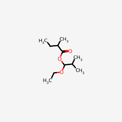 CCOC(OC(=O)C(C)CC)C(C)C